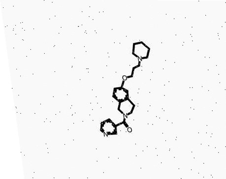 O=C(c1cccnc1)N1CCc2cc(OCCCN3CCCCC3)ccc2C1